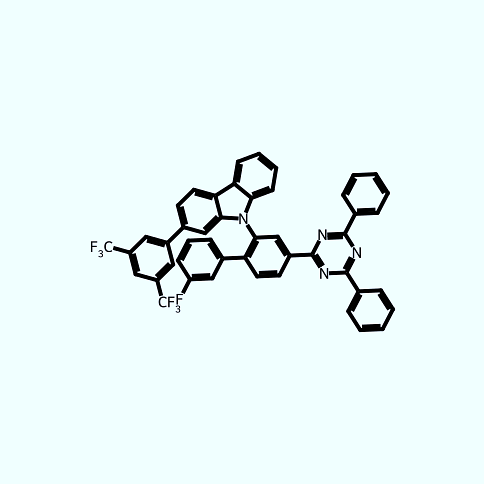 Fc1cccc(-c2ccc(-c3nc(-c4ccccc4)nc(-c4ccccc4)n3)cc2-n2c3ccccc3c3ccc(-c4cc(C(F)(F)F)cc(C(F)(F)F)c4)cc32)c1